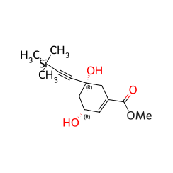 COC(=O)C1=C[C@H](O)C[C@@](O)(C#C[Si](C)(C)C)C1